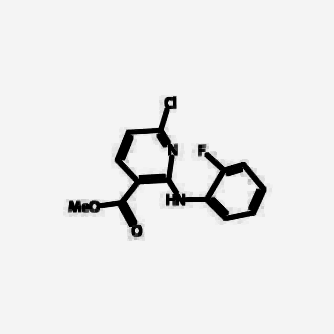 COC(=O)c1ccc(Cl)nc1Nc1ccccc1F